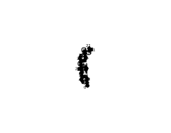 CSN1CCC(Sc2ncnc(OC3CCN(C(=O)OC(C)C)CC3)c2C)CC1